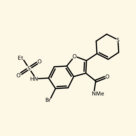 CCS(=O)(=O)Nc1cc2oc(C3=CCSCC3)c(C(=O)NC)c2cc1Br